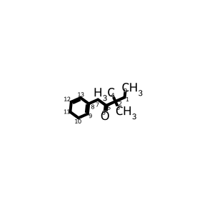 CCC(C)(C)C(=O)CC1=CCCC=C1